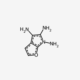 Nc1c(N)n(N)c2occc12